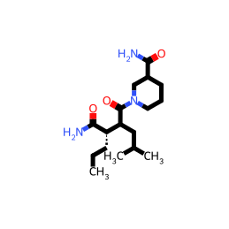 CCC[C@H](C(N)=O)C(CC(C)C)C(=O)N1CCCC(C(N)=O)C1